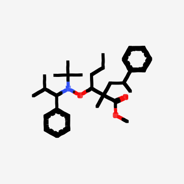 CCCC(ON(C(c1ccccc1)C(C)C)C(C)(C)C)C(C)(CC(C)c1ccccc1)C(=O)OC